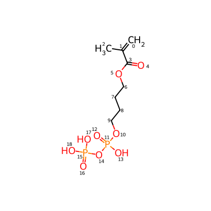 C=C(C)C(=O)OCCCCOP(=O)(O)OP(=O)(O)O